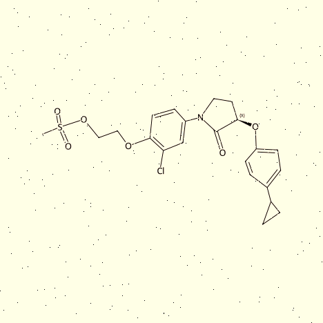 CS(=O)(=O)OCCOc1ccc(N2CC[C@@H](Oc3ccc(C4CC4)cc3)C2=O)cc1Cl